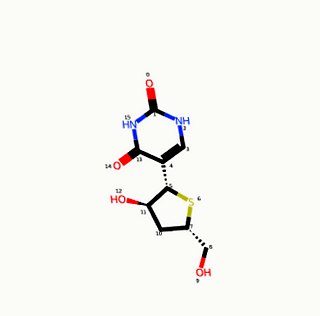 O=c1[nH]cc([C@@H]2S[C@H](CO)C[C@H]2O)c(=O)[nH]1